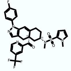 CN([C@H]1CCC2=Cc3c(cnn3-c3ccc(F)cc3)C[C@]2(C(=O)c2cc(C(F)(F)F)ccn2)C1)S(=O)(=O)c1cccn1C